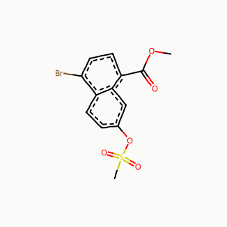 COC(=O)c1ccc(Br)c2ccc(OS(C)(=O)=O)cc12